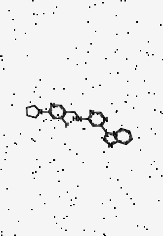 Fc1cc(N2CCCC2)ncc1CNc1cc(-c2cnc3ccccn23)ncn1